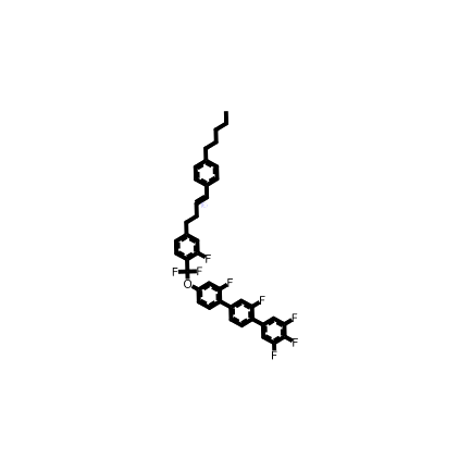 CCCCCc1ccc(/C=C/CCc2ccc(C(F)(F)Oc3ccc(-c4ccc(-c5cc(F)c(F)c(F)c5)c(F)c4)c(F)c3)c(F)c2)cc1